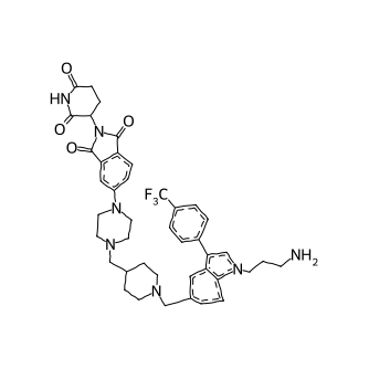 NCCCn1cc(-c2ccc(C(F)(F)F)cc2)c2cc(CN3CCC(CN4CCN(c5ccc6c(c5)C(=O)N(C5CCC(=O)NC5=O)C6=O)CC4)CC3)ccc21